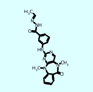 CC=NNC(=O)c1cccc(Nc2ncc3c(n2)N(C)c2ccccc2C(=O)N3C)c1